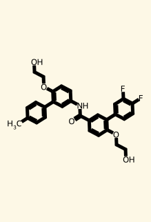 Cc1ccc(-c2cc(NC(=O)c3ccc(OCCO)c(-c4ccc(F)c(F)c4)c3)ccc2OCCO)cc1